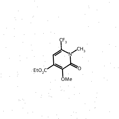 CCOC(=O)c1cc(C(F)(F)F)n(C)c(=O)c1OC